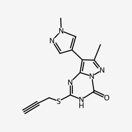 C#CCSc1nc2c(-c3cnn(C)c3)c(C)nn2c(=O)[nH]1